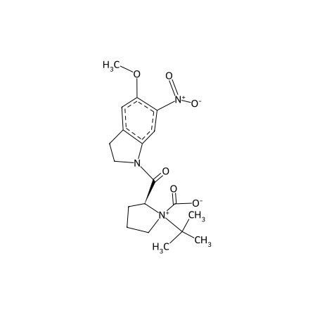 COc1cc2c(cc1[N+](=O)[O-])N(C(=O)[C@@H]1CCC[N+]1(C(=O)[O-])C(C)(C)C)CC2